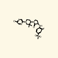 CC1(C)CN(c2cnc(Cl)cn2)CCC1N1CCC(Nc2ccc(S(C)(=O)=O)cc2F)C1=O